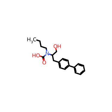 CCCCN(C(=O)O)C(CO)Cc1ccc(-c2ccccc2)cc1